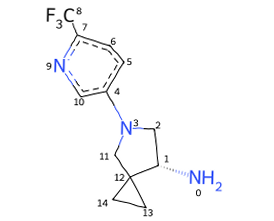 N[C@H]1CN(c2ccc(C(F)(F)F)nc2)CC12CC2